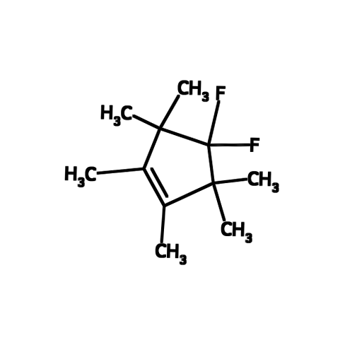 CC1=C(C)C(C)(C)C(F)(F)C1(C)C